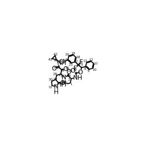 CC(C)CC(NC(=O)OC(c1ccccc1)C(F)(F)c1cccc(Cl)c1)C(=O)NC(CC1CCNC1=O)C(=O)C(=O)NC1CC1